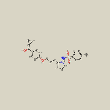 CCc1ccc(S(=O)(=O)NN2CCCC2CCCOc2ccc(C(=O)C3CC3)cc2)cc1